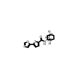 O=C(N[C@@H]1C[C@H]2CC[C@@H]1N2)c1ccc(-c2cnco2)s1